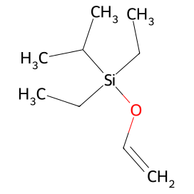 C=CO[Si](CC)(CC)C(C)C